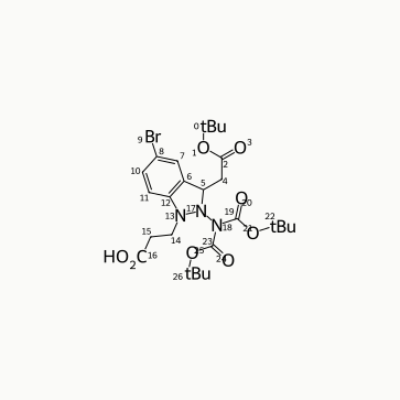 CC(C)(C)OC(=O)CC1c2cc(Br)ccc2N(CCC(=O)O)N1N(C(=O)OC(C)(C)C)C(=O)OC(C)(C)C